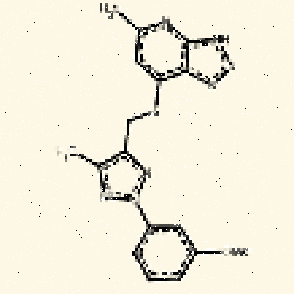 COc1cccc(-n2nc(C)c(CSc3cc(N)nc4[nH]nnc34)n2)c1